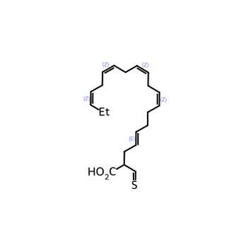 CC/C=C\C/C=C\C/C=C\C/C=C\CC/C=C/CC(C=S)C(=O)O